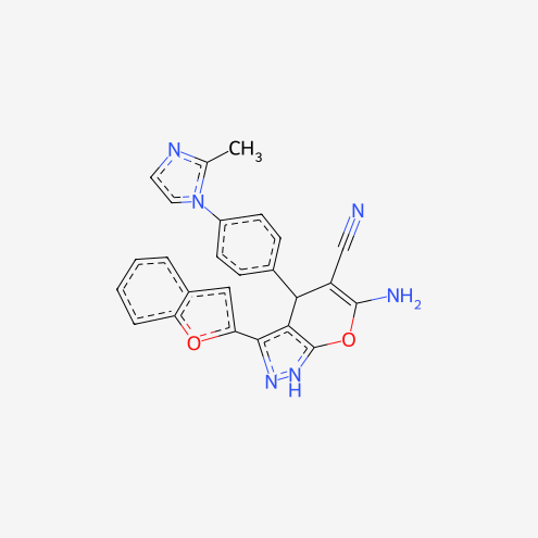 Cc1nccn1-c1ccc(C2C(C#N)=C(N)Oc3[nH]nc(-c4cc5ccccc5o4)c32)cc1